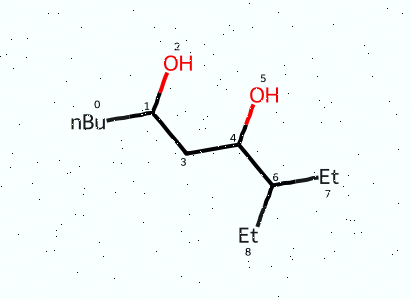 CCCCC(O)CC(O)C(CC)CC